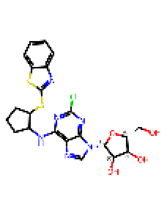 OC[C@H]1O[C@@H](n2cnc3c(NC4CCCC4Sc4nc5ccccc5s4)nc(Cl)nc32)[C@H](O)[C@@H]1O